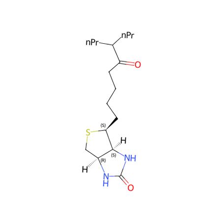 CCCC(CCC)C(=O)CCCC[C@@H]1SC[C@@H]2NC(=O)N[C@@H]21